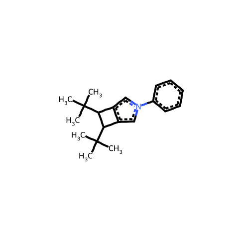 CC(C)(C)C1c2cn(-c3ccccc3)cc2C1C(C)(C)C